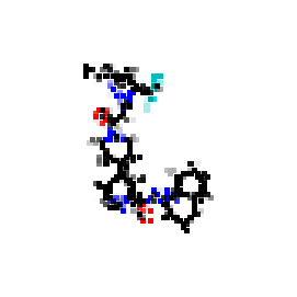 O=C(NC1CCCc2ccccc21)c1cc(C2CCN(C(=O)Cn3nc(C(F)(F)F)cc3C(F)F)CC2)ccn1